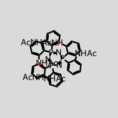 CC(=O)Nc1ccccc1P1(c2ccccc2NC(C)=O)=NP(c2ccccc2NC(C)=O)(c2ccccc2NC(C)=O)=NP(c2ccccc2NC(C)=O)(c2ccccc2NC(C)=O)=N1